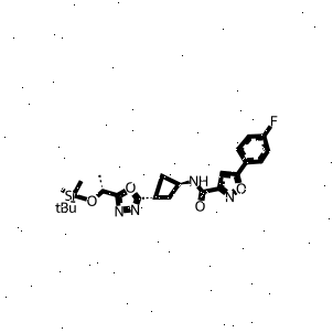 C[C@@H](O[Si](C)(C)C(C)(C)C)c1nnc([C@H]2C[C@H](NC(=O)c3cc(-c4ccc(F)cc4)on3)C2)o1